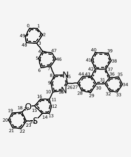 c1ccc(-c2ccc(-c3cc(-c4ccc5c(c4)Oc4ccccc4S5)nc(-c4ccc5c6ccccc6c6ccccc6c5c4)n3)cc2)cc1